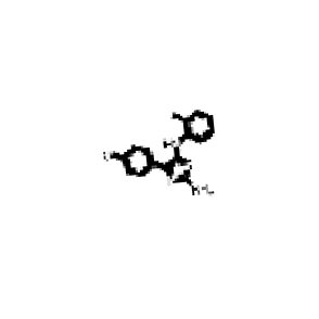 Cc1ccccc1Nc1sc(N)nc1-c1ccc(Cl)cc1